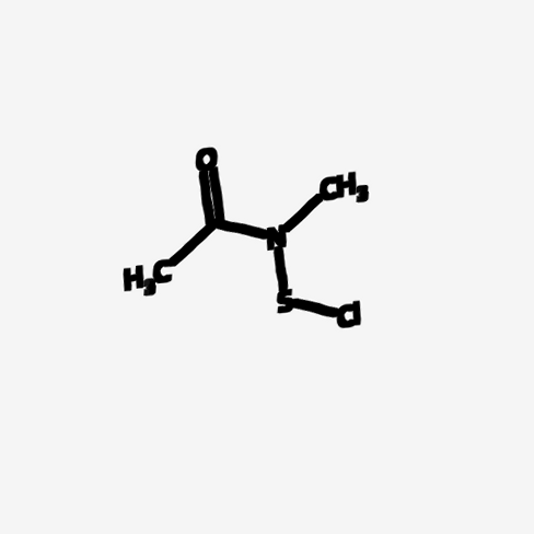 CC(=O)N(C)SCl